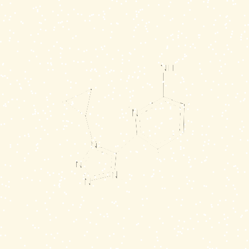 Nc1cccc(-c2nnnn2C2CC2)n1